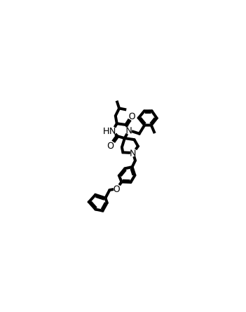 Cc1ccccc1CN1C(=O)C(CC(C)C)NC(=O)C12CCN(Cc1ccc(OCc3ccccc3)cc1)CC2